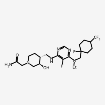 CCN(CC1(F)CCC(C(F)(F)F)CC1)c1ncnc(NC[C@H]2CCN(CC(N)=O)C[C@@H]2O)c1F